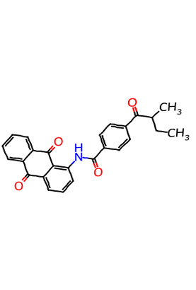 CCC(C)C(=O)c1ccc(C(=O)Nc2cccc3c2C(=O)c2ccccc2C3=O)cc1